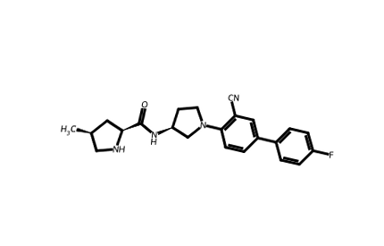 C[C@@H]1CN[C@H](C(=O)N[C@H]2CCN(c3ccc(-c4ccc(F)cc4)cc3C#N)C2)C1